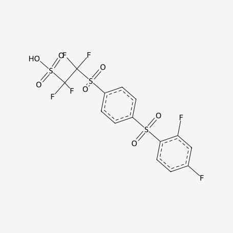 O=S(=O)(c1ccc(S(=O)(=O)C(F)(F)C(F)(F)S(=O)(=O)O)cc1)c1ccc(F)cc1F